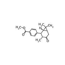 COC(=O)c1ccc(C2C(C)C(=O)CC3[C@H]2C3(C)C)cc1